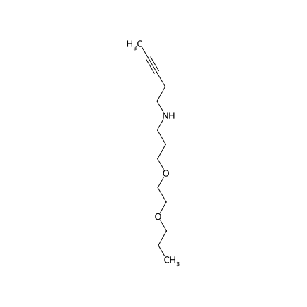 CC#CCCNCCCOCCOCCC